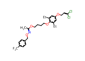 CCc1cc(OCC=C(Cl)Cl)cc(CC)c1OCCCCOC(C)=NOCc1ccc(C(F)(F)F)cc1